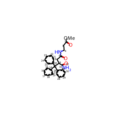 COC(=O)CCNC(=O)CC(C(N)=O)C(c1ccccc1)(c1ccccc1)c1ccccc1